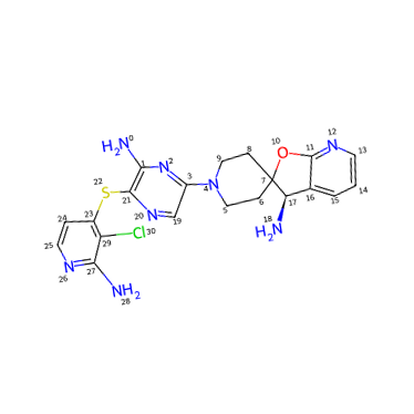 Nc1nc(N2CCC3(CC2)Oc2ncccc2[C@H]3N)cnc1Sc1ccnc(N)c1Cl